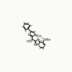 COc1cccn2nc(C(S)c3nc(-c4ccccc4)cn3C)nc12